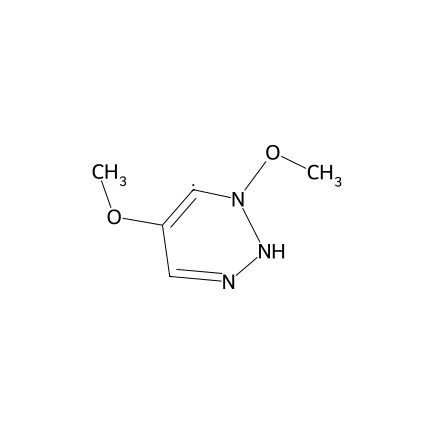 COC1=[C]N(OC)NN=C1